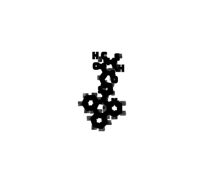 CN1C(=O)/C(=C/c2ccc(N3c4ccccc4-c4ccccc4-c4cccnc43)s2)C(=O)NC1=S